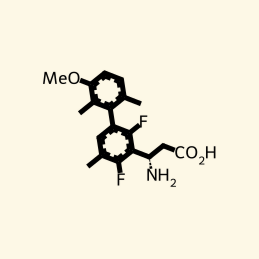 COc1ccc(C)c(-c2cc(C)c(F)c([C@@H](N)CC(=O)O)c2F)c1C